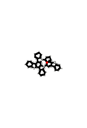 c1ccc(-n2c3ccccc3c3c4c5ccccc5sc4c4c5ccccc5n(-c5ccc6oc7ccccc7c6c5)c4c32)cc1